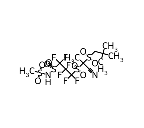 CC(C)(C)CS(=O)(=O)C(C)(C#N)S(=O)(=O)C(F)(F)C(F)(F)C(F)(F)S(=O)(=O)NS(C)(=O)=O